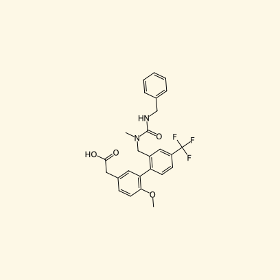 COc1ccc(CC(=O)O)cc1-c1ccc(C(F)(F)F)cc1CN(C)C(=O)NCc1ccccc1